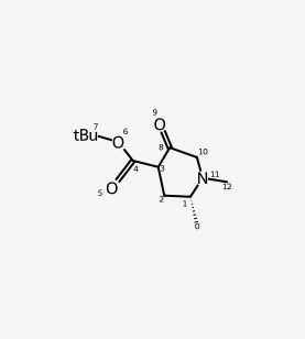 C[C@@H]1CC(C(=O)OC(C)(C)C)C(=O)CN1C